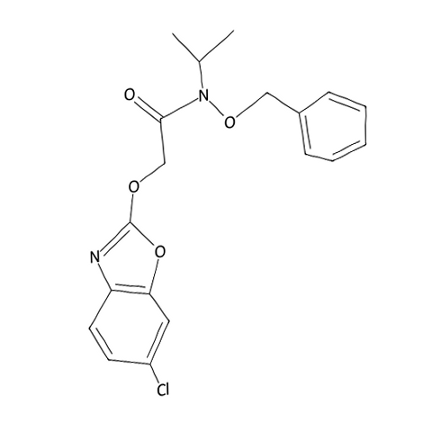 CC(C)N(OCc1ccccc1)C(=O)COc1nc2ccc(Cl)cc2o1